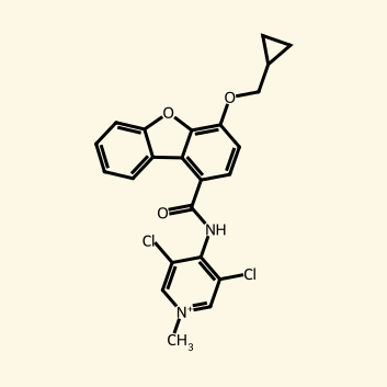 C[n+]1cc(Cl)c(NC(=O)c2ccc(OCC3CC3)c3oc4ccccc4c23)c(Cl)c1